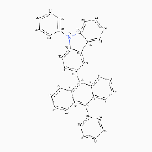 c1ccc(-c2c3ccccc3c(-c3ccc4c(c3)c3ccccc3n4-c3ccccc3)c3ccccc23)cc1